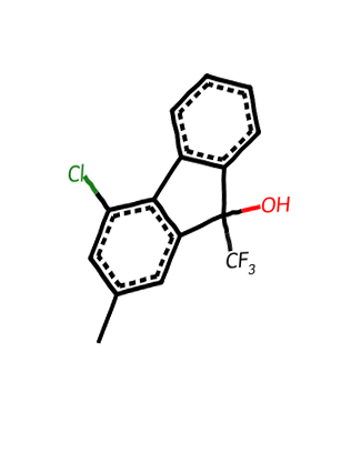 Cc1cc(Cl)c2c(c1)C(O)(C(F)(F)F)c1ccccc1-2